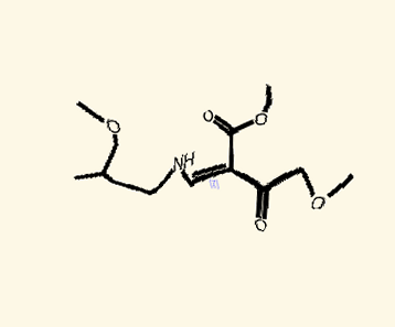 COCC(=O)/C(=C/NCC(C)OC)C(=O)OC